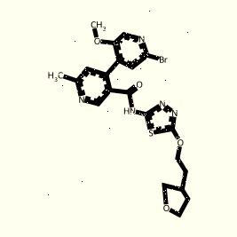 COc1cnc(Br)cc1-c1cc(C)ncc1C(=O)Nc1nnc(OCCC2CCOC2)s1